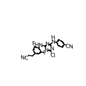 N#CCCc1cc(F)c(Nc2nc(Cl)nc(Nc3ccc(C#N)cc3)n2)c(F)c1